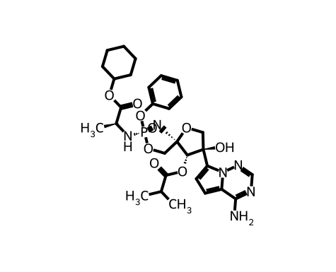 CC(C)C(=O)O[C@@H]1[C@@](C#N)(CO[P@@](=O)(N[C@@H](C)C(=O)OC2CCCCC2)Oc2ccccc2)OC[C@]1(O)c1ccc2c(N)ncnn12